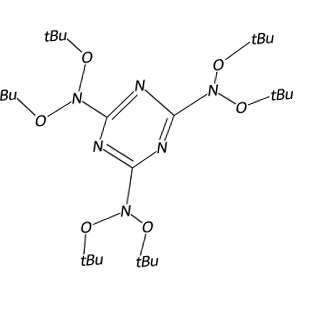 CC(C)(C)ON(OC(C)(C)C)c1nc(N(OC(C)(C)C)OC(C)(C)C)nc(N(OC(C)(C)C)OC(C)(C)C)n1